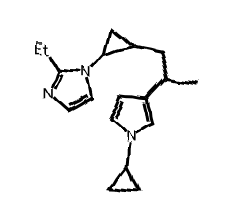 CCc1nccn1C1CC1CC(C)c1ccn(C2CC2)c1